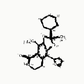 Cc1c2c(c(-c3ccco3)c3c1C(=O)NCC3)OC(C)(C1CCCCC1)O2